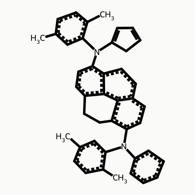 Cc1ccc(C)c(N(C2=CC=CC2)c2ccc3c4c2ccc2ccc(N(c5ccccc5)c5cc(C)ccc5C)c(c24)CC3)c1